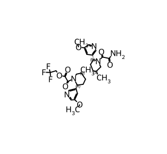 COc1cncc([C@H]2CC[C@H](C)CN2C(=O)C(=O)OCC(F)(F)F)c1.COc1cncc([C@H]2CC[C@H](C)CN2C(=O)C(N)=O)c1